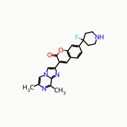 Cc1cn2cc(-c3cc4ccc(C5(F)CCNCC5)cc4oc3=O)nc2c(C)n1